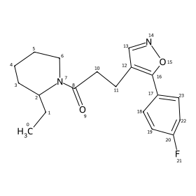 CCC1CCCCN1C(=O)CCc1cnoc1-c1ccc(F)cc1